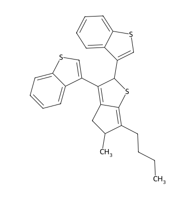 CCCCC1=C2SC(c3csc4ccccc34)C(c3csc4ccccc34)=C2CC1C